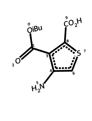 CC(C)COC(=O)c1c(N)csc1C(=O)O